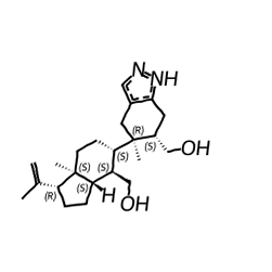 C=C(C)[C@H]1CC[C@H]2[C@H](CO)[C@@H]([C@@]3(C)Cc4cn[nH]c4C[C@@H]3CO)CC[C@]12C